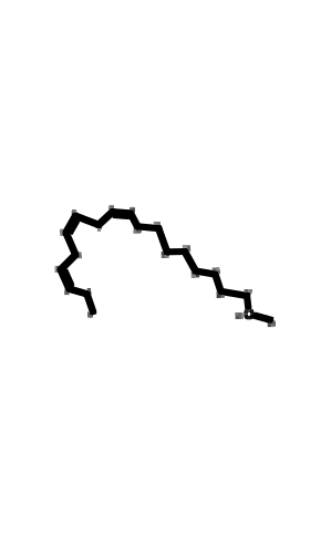 CC/C=C\C/C=C\C/C=C\CCCCCCCCOC